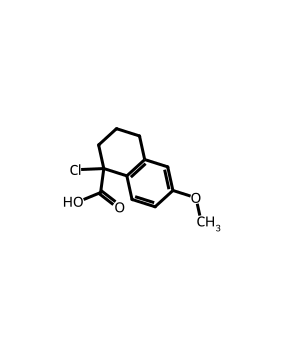 COc1ccc2c(c1)CCCC2(Cl)C(=O)O